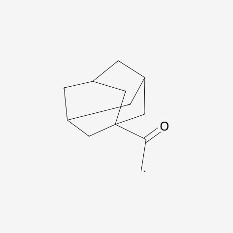 [CH2]C(=O)C12CC3CC(CC(C3)C1)C2